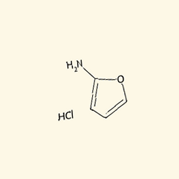 Cl.Nc1ccco1